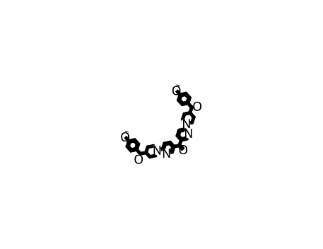 COc1ccc(C(=O)C2CCN(c3ccc(C(=O)c4ccc(N5CCC(C(=O)c6ccc(OC)cc6)CC5)nc4)cn3)CC2)cc1